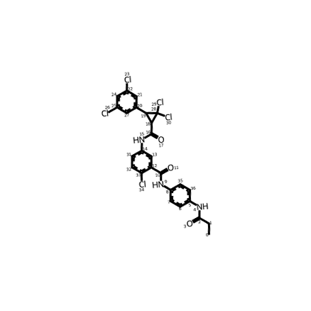 CCC(=O)Nc1ccc(NC(=O)c2cc(NC(=O)C3C(c4cc(Cl)cc(Cl)c4)C3(Cl)Cl)ccc2Cl)cc1